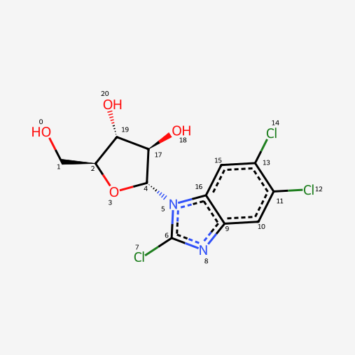 OC[C@@H]1O[C@@H](n2c(Cl)nc3cc(Cl)c(Cl)cc32)[C@H](O)[C@H]1O